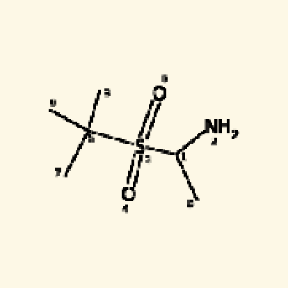 CC(N)S(=O)(=O)C(C)(C)C